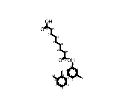 Cc1cccc(C)c1.Cc1ccccc1C.O=C(O)CCCCCCCC(=O)O